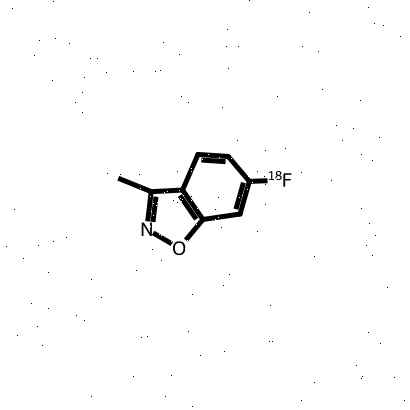 Cc1noc2cc([18F])ccc12